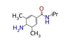 CC1=CC(C(=O)NC(C)C)=CC(C)C1N